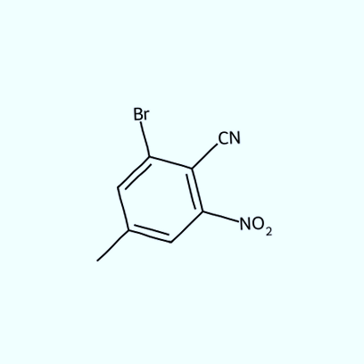 Cc1cc(Br)c(C#N)c([N+](=O)[O-])c1